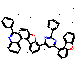 c1ccc(-c2nc(-c3cccc4c3oc3ccc5c(-c6ccccc6)nc6ccccc6c5c34)cc(-c3cccc4oc5ccccc5c34)n2)cc1